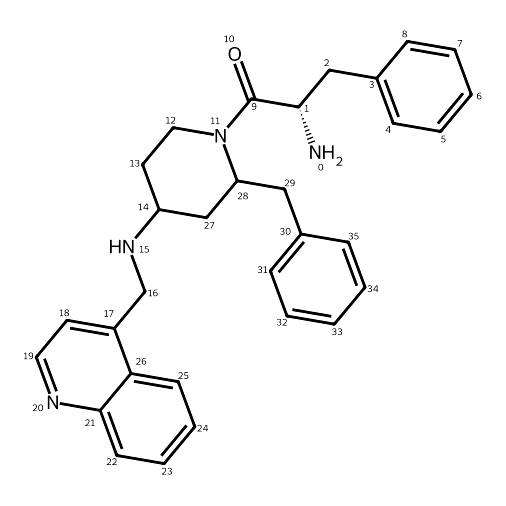 N[C@@H](Cc1ccccc1)C(=O)N1CCC(NCc2ccnc3ccccc23)CC1Cc1ccccc1